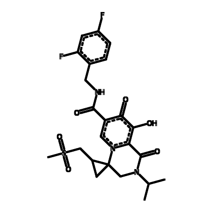 CC(C)N1CC2(CC2CS(C)(=O)=O)n2cc(C(=O)NCc3ccc(F)cc3F)c(=O)c(O)c2C1=O